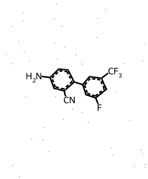 N#Cc1cc(N)ccc1-c1cc(F)cc(C(F)(F)F)c1